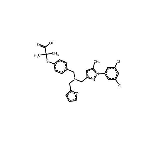 Cc1cc(CN(Cc2ccc(SC(C)(C)C(=O)O)cc2)Cc2ccco2)nn1-c1cc(Cl)cc(Cl)c1